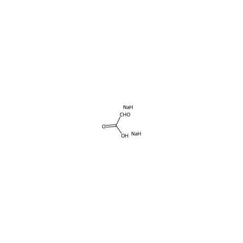 O=CC(=O)O.[NaH].[NaH]